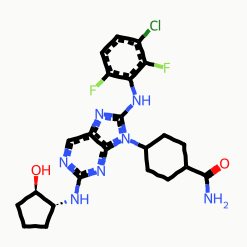 NC(=O)C1CCC(n2c(Nc3c(F)ccc(Cl)c3F)nc3cnc(N[C@@H]4CCC[C@H]4O)nc32)CC1